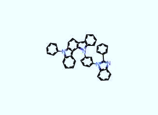 c1ccc(-c2nc3ccccc3n2-c2cccc(-n3c4ccccc4c4ccc5c(c6ccccc6n5-c5ccccc5)c43)c2)cc1